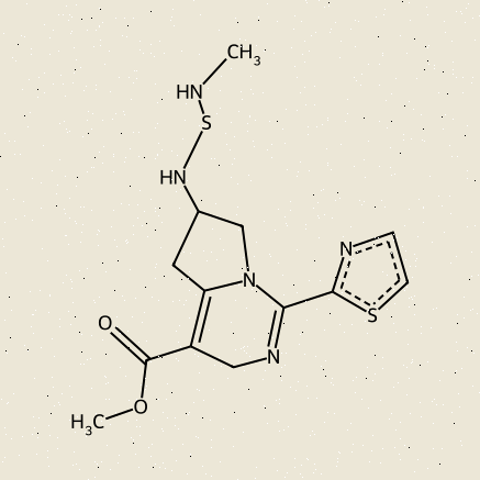 CNSNC1CC2=C(C(=O)OC)CN=C(c3nccs3)N2C1